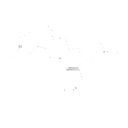 CC(=O)Oc1cc2cc(-c3cc(Br)cs3)c(=O)oc2cc1OC(C)=O